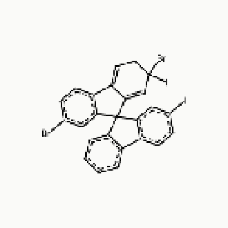 Brc1ccc2c(c1)C1(C3=CC(Br)(I)CC=C32)c2ccccc2-c2ccc(I)cc21